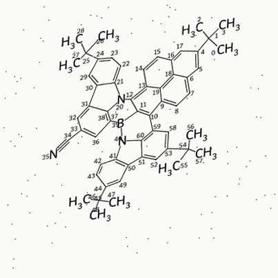 CC(C)(C)c1cc2ccc3c4c5c(c6ccc(c1)c2c36)-n1c2ccc(C(C)(C)C)cc2c2cc(C#N)cc(c21)B5n1c2ccc(C(C)(C)C)cc2c2cc(C(C)(C)C)cc-4c21